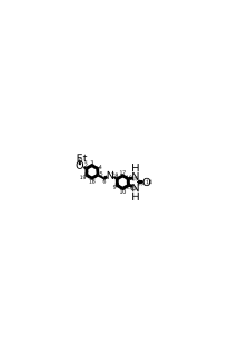 CCOc1ccc(/C=N/c2ccc3[nH]c(=O)[nH]c3c2)cc1